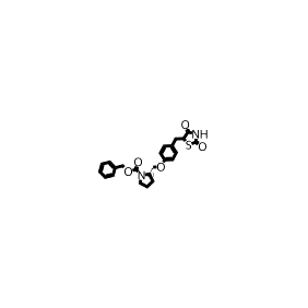 O=C1NC(=O)C(Cc2ccc(OC[C@@H]3CCCN3C(=O)OCc3ccccc3)cc2)S1